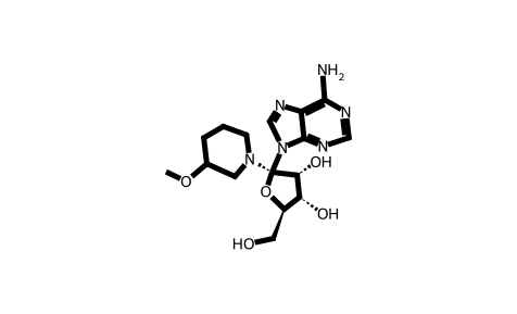 COC1CCCN([C@@]2(n3cnc4c(N)ncnc43)O[C@H](CO)[C@@H](O)[C@H]2O)C1